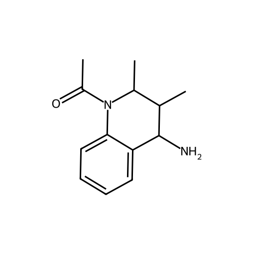 CC(=O)N1c2ccccc2C(N)C(C)C1C